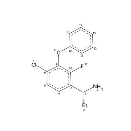 CC[C@@H](N)c1ccc(Cl)c(Oc2ccccc2)c1F